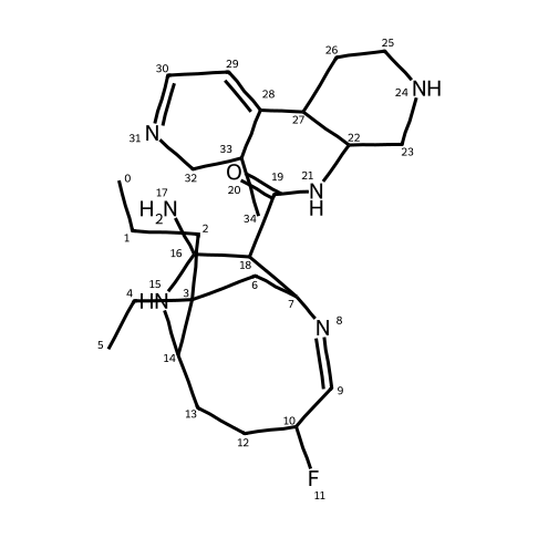 CCCC1(CC)CC2/N=C\C(F)CCC1NC(N)C2C(=O)NC1CNCCC1C1=CC=NCC1C